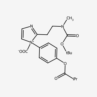 CC(C)C(=O)Oc1ccc([N+]2(C(=O)[O-])C=CN=C2CCN(C)C(=O)OC(C)(C)C)cc1